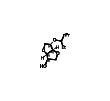 CCCC(CC)O[C@H]1CO[C@H]2[C@@H]1OC[C@H]2O